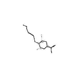 CCCCCN1[C@H](C)CN(C(C)C)C[C@@H]1C